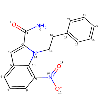 NC(=O)c1cc2cccc([N+](=O)[O-])c2n1CCc1ccccc1